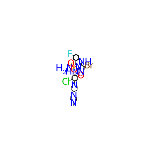 COc1cc(N2CCC(N3CCN(C)CC3)CC2)c(Cl)cc1Nc1ncc(Br)c(Nc2ccc(F)cc2CS(N)(=O)=O)n1